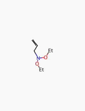 C=CCN(OCC)OCC